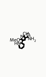 COc1nc(C)c(C(N)=O)cc1C1=CC=CC=CN1